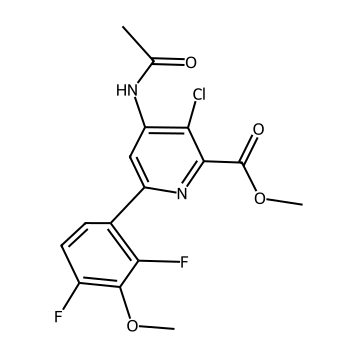 COC(=O)c1nc(-c2ccc(F)c(OC)c2F)cc(NC(C)=O)c1Cl